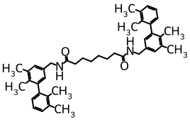 Cc1cccc(-c2cc(CNC(=O)CCCCCCC(=O)NCc3cc(C)c(C)c(-c4cccc(C)c4C)c3)cc(C)c2C)c1C